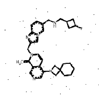 C=C1c2cncc(N3CC4(CCCCC4)C3)c2C=CN1Cc1cn2cc(CNCC3CC(F)C3)ccc2n1